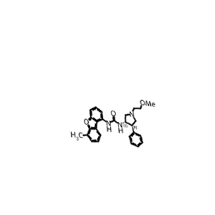 COCCN1C[C@@H](NC(=O)Nc2cccc3oc4c(C)cccc4c23)[C@H](c2ccccc2)C1